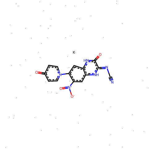 N#CN=c1[nH]c2cc([N+](=O)[O-])c(-n3ccc(=O)cc3)cc2[nH]c1=O.[K]